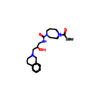 COC(=O)N1CCCN(C(=O)NC[C@@H](O)CN2CCc3ccccc3C2)CC1